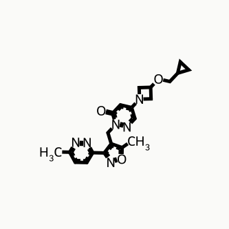 Cc1ccc(-c2noc(C)c2Cn2ncc(N3CC(OCC4CC4)C3)cc2=O)nn1